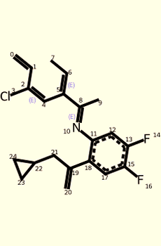 C=C\C(Cl)=C/C(=C\C)C(/C)=N/c1cc(F)c(F)cc1C(=C)CC1CC1